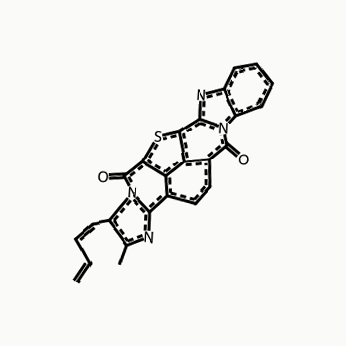 C=C/C=C\c1c(C)nc2c3ccc4c(=O)n5c6ccccc6nc5c5sc(c(=O)n12)c3c45